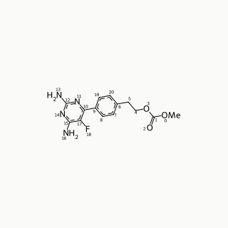 COC(=O)OCCc1ccc(-c2nc(N)nc(N)c2F)cc1